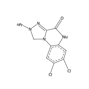 CCCN1CN2C(=N1)C(=O)Nc1cc(Cl)c(Cl)cc12